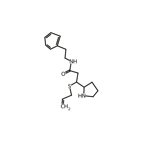 C=CCSC(CC(=O)NCCc1ccccc1)C1CCCN1